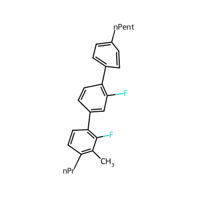 CCCCCc1ccc(-c2ccc(-c3ccc(CCC)c(C)c3F)cc2F)cc1